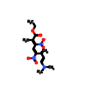 C=C(/C=C/N(C)C)/C(=C\C(=C(/C)C(=O)OCC)[N+](=O)[O-])[N+](=O)[O-]